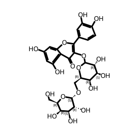 O=c1c(OC2O[C@H](CO[C@H]3O[C@H](CO)[C@H](O)[C@H](O)[C@H]3O)[C@H](O)[C@H](O)[C@H]2O)c(-c2ccc(O)c(O)c2)oc2cc(O)cc(O)c12